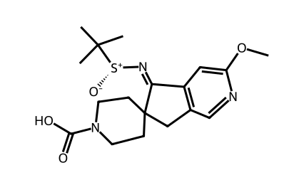 COc1cc2c(cn1)CC1(CCN(C(=O)O)CC1)/C2=N\[S@+]([O-])C(C)(C)C